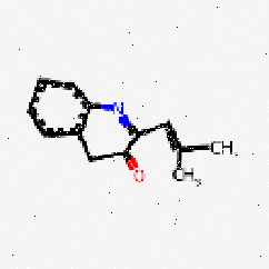 CC(C)=CC1=Nc2ccccc2CC1=O